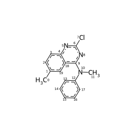 Cc1ccc2nc(Cl)nc(N(C)c3ccccc3)c2c1